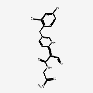 N=C/C(C(=O)NCC(N)=O)=C1/N=CC(Cc2ccc(Cl)cc2Cl)=CN1